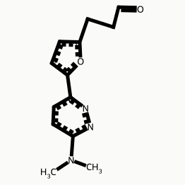 CN(C)c1ccc(-c2ccc(CCC=O)o2)nn1